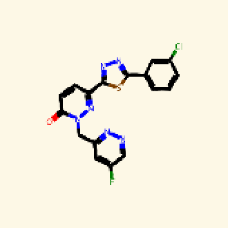 O=c1ccc(-c2nnc(-c3cccc(Cl)c3)s2)nn1Cc1cc(F)cnn1